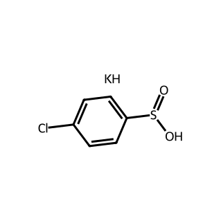 O=S(O)c1ccc(Cl)cc1.[KH]